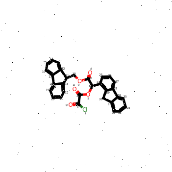 O=C(Cl)C(=O)OC(C(=O)OCC1c2ccccc2-c2ccccc21)c1cccc2c1Cc1ccccc1-2